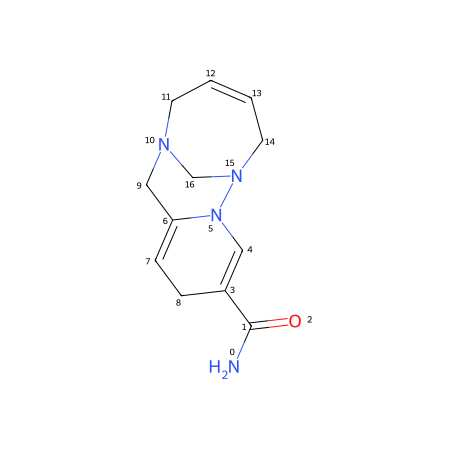 NC(=O)C1=CN2C(=CC1)CN1CC=CCN2C1